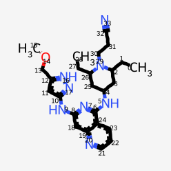 CCC1CC(Nc2nc(Nc3cc(COC)[nH]n3)cc3ncccc23)CC(CC)N1CCC#N